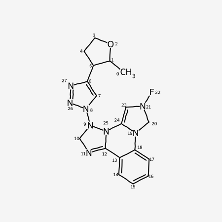 CC1OCCC1c1cn(N2CN=C3c4ccccc4N4CN(F)C=C4N32)nn1